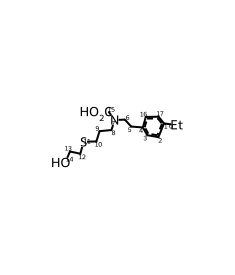 CCc1ccc(CCN(CCCSCCO)C(=O)O)cc1